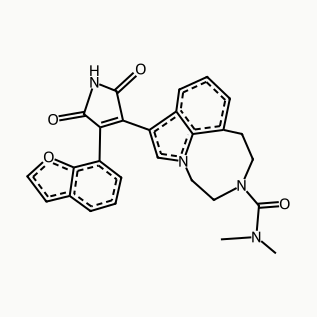 CN(C)C(=O)N1CCc2cccc3c(C4=C(c5cccc6ccoc56)C(=O)NC4=O)cn(c23)CC1